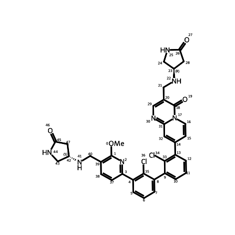 COc1nc(-c2cccc(-c3cccc(-c4ccn5c(=O)c(CN[C@H]6CNC(=O)C6)cnc5c4)c3Cl)c2Cl)ccc1CN[C@@H]1CNC(=O)C1